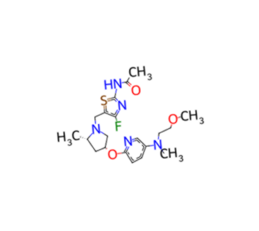 COCCN(C)c1ccc(O[C@@H]2C[C@H](C)N(Cc3sc(NC(C)=O)nc3F)C2)nc1